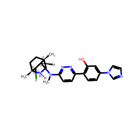 CN(c1ccc(-c2ccc(-n3ccnc3)cc2O)nn1)[C@@H]1[C@@H](F)[C@@]2(C)CC[C@]1(C)CN2